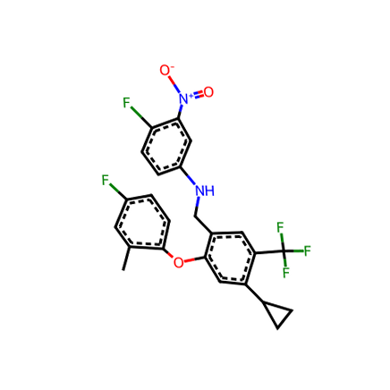 Cc1cc(F)ccc1Oc1cc(C2CC2)c(C(F)(F)F)cc1CNc1ccc(F)c([N+](=O)[O-])c1